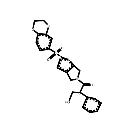 O=C([C@H](CO)c1ccccc1)N1Cc2cn(S(=O)(=O)c3ccc4c(c3)OCCO4)nc2C1